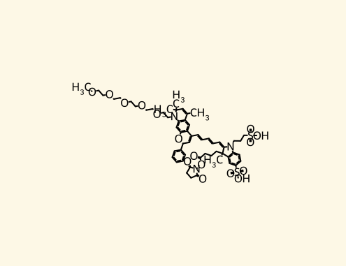 COCCOCCOCCOCCOCCN1c2cc3c(cc2C(C)=CC1(C)C)C(/C=C/C=C/C=C1/N(CCCS(=O)(=O)O)c2ccc(S(=O)(=O)O)cc2C1(C)CCCC(=O)ON1C(=O)CCC1=O)=CC(c1ccccc1)O3